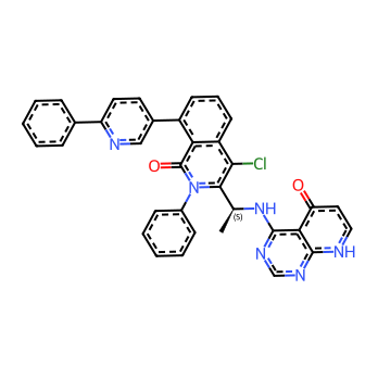 C[C@H](Nc1ncnc2[nH]ccc(=O)c12)c1c(Cl)c2cccc(-c3ccc(-c4ccccc4)nc3)c2c(=O)n1-c1ccccc1